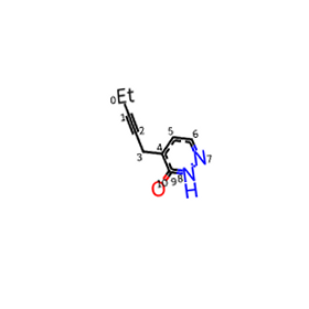 CCC#CCc1ccn[nH]c1=O